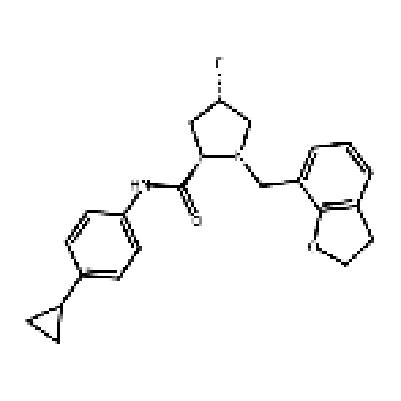 O=C(Nc1ccc(C2CC2)cc1)[C@H]1C[C@H](F)CN1Cc1cccc2c1OCC2